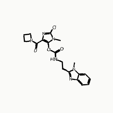 Cn1c(Cl)nc(C(=O)N2CCC2)c1OC(=O)NCCc1nc2ccccc2n1C